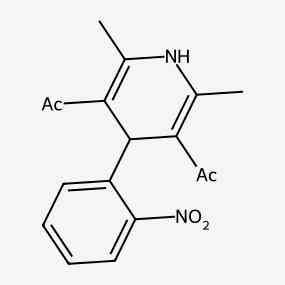 CC(=O)C1=C(C)NC(C)=C(C(C)=O)C1c1ccccc1[N+](=O)[O-]